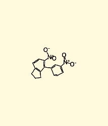 O=[N+]([O-])c1cccc(-c2c([N+](=O)[O-])ccc3c2CCC3)c1